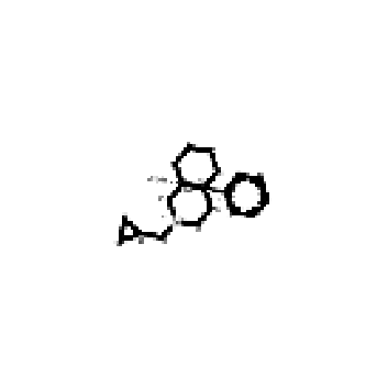 c1ccc([C@]23CCCC[C@@H]2CN(CC2CC2)CC3)cc1